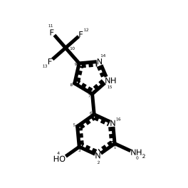 Nc1nc(O)cc(-c2cc(C(F)(F)F)n[nH]2)n1